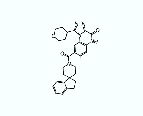 Cc1cc2[nH]c(=O)c3nnc(C4CCOCC4)n3c2cc1C(=O)N1CCC2(CCc3ccccc32)CC1